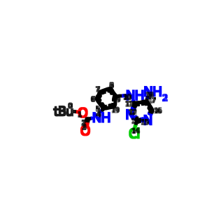 CC(C)(C)OC(=O)Nc1cccc(Nc2nc(Cl)ncc2N)c1